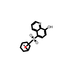 O=S(=O)(c1ccc(O)c2ncccc12)N1CC2CCC(CC2)C1